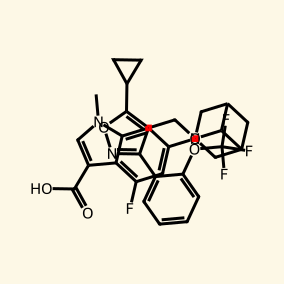 Cn1cc(C(=O)O)c2c(F)cc(N3CC4CC(C3)C4OCc3c(-c4ccccc4OC(F)(F)F)noc3C3CC3)cc21